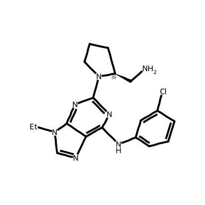 CCn1cnc2c(Nc3cccc(Cl)c3)nc(N3CCC[C@H]3CN)nc21